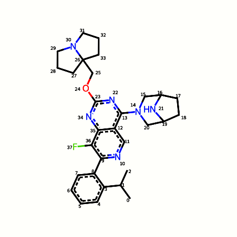 CC(C)c1ccccc1-c1ncc2c(N3CC4CCC(C3)N4)nc(OCC34CCCN3CCC4)nc2c1F